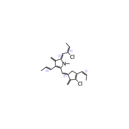 C=C1C(Cl)=C(/C=C\C)C/C1=C\c1c(/C=C/C)c(=C)/c(=C/C(Cl)=C\C)n1C